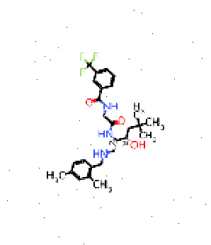 Cc1ccc(CNC[C@H](NC(=O)CNC(=O)c2cccc(C(F)(F)F)c2)[C@@H](O)CC(C)(C)C)c(C)c1